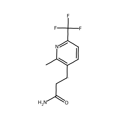 Cc1nc(C(F)(F)F)ccc1[CH]CC(N)=O